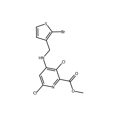 COC(=O)c1nc(Cl)cc(NCc2ccsc2Br)c1Cl